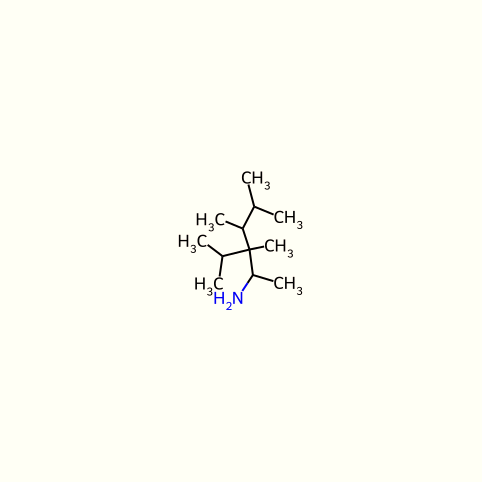 CC(C)C(C)C(C)(C(C)C)C(C)N